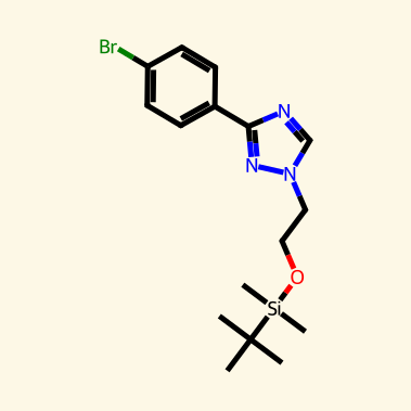 CC(C)(C)[Si](C)(C)OCCn1cnc(-c2ccc(Br)cc2)n1